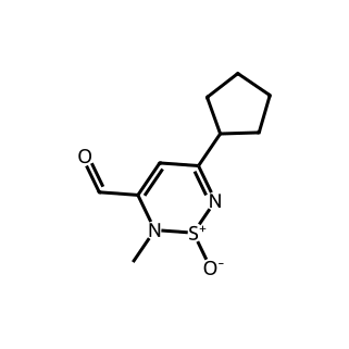 CN1C(C=O)=CC(C2CCCC2)=N[S+]1[O-]